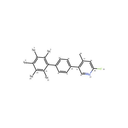 [2H]c1c([2H])c([2H])c(-c2ccc(-c3cnc(F)cc3C)cc2)c([2H])c1[2H]